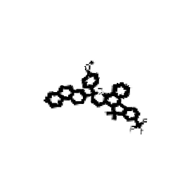 COc1ccc(C2(C3=Cc4ccc5ccccc5c4CC3)C=Cc3c4c(c5ccccc5c3O2)-c2ccc(C(F)(F)F)cc2C4(C)C)cc1